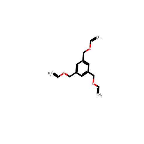 C=COCc1cc(COC=C)cc(COC=C)c1